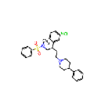 CN(C[C@H](CCN1CCC(c2ccccc2)CC1)c1ccccc1)S(=O)(=O)c1ccccc1.Cl